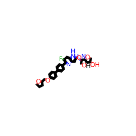 N[C@]12OC[C@@H](O)[C@H]1OC[C@H]2Oc1cc2nc(-c3ccc(-c4ccc(OCC5CCCO5)cc4)cc3)c(F)cc2[nH]1